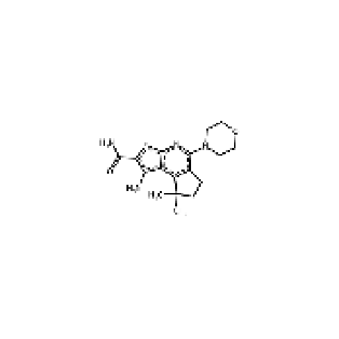 CC1(C)CCc2c(N3CCOCC3)nc3sc(C(N)=O)c(N)c3c21